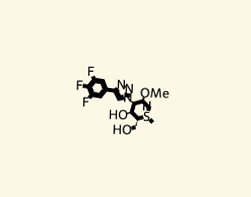 CO[C@H]1C[SH](C)[C@H](CO)[C@H](O)[C@@H]1n1cc(-c2cc(F)c(F)c(F)c2)nn1